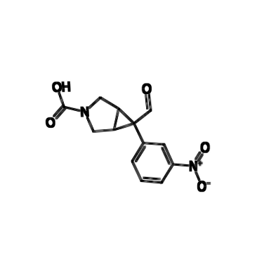 O=CC1(c2cccc([N+](=O)[O-])c2)C2CN(C(=O)O)CC21